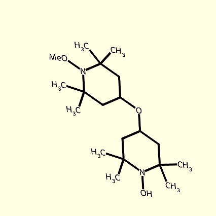 CON1C(C)(C)CC(OC2CC(C)(C)N(O)C(C)(C)C2)CC1(C)C